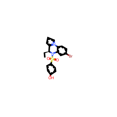 CC[C@H]1c2cccn2-c2ccc(Br)cc2N1S(=O)(=O)c1ccc(O)cc1